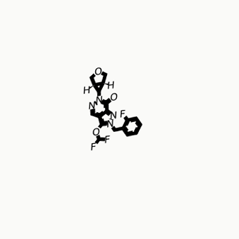 O=c1c2nn(Cc3ccccc3F)c(OC(F)F)c2cnn1C1[C@H]2COC[C@@H]12